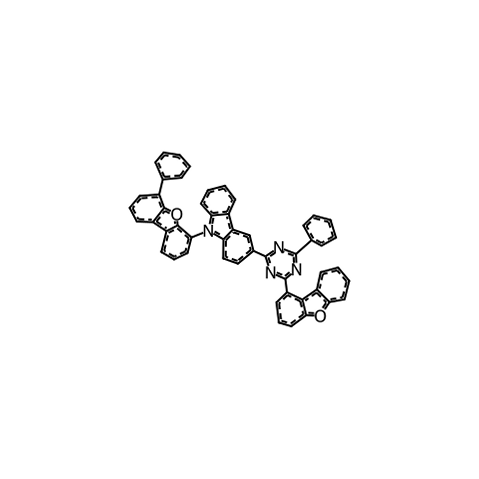 c1ccc(-c2nc(-c3ccc4c(c3)c3ccccc3n4-c3cccc4c3oc3c(-c5ccccc5)cccc34)nc(-c3cccc4oc5ccccc5c34)n2)cc1